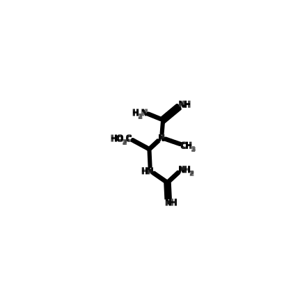 CN(C(=N)N)C(NC(=N)N)C(=O)O